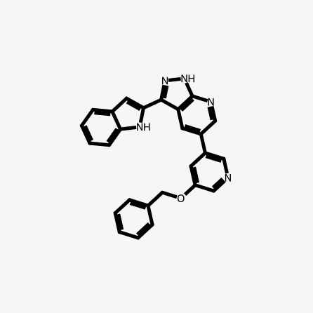 c1ccc(COc2cncc(-c3cnc4[nH]nc(-c5cc6ccccc6[nH]5)c4c3)c2)cc1